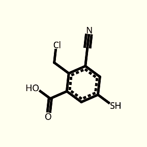 N#Cc1cc(S)cc(C(=O)O)c1CCl